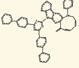 C=C1/C=C\C=C/CN(c2ccccc2)c2cc3c4ccccc4n(-c4nc(-c5ccc(-c6ccccc6)cc5)nc(-c5ccc(-c6ccccc6)cc5)n4)c3cc21